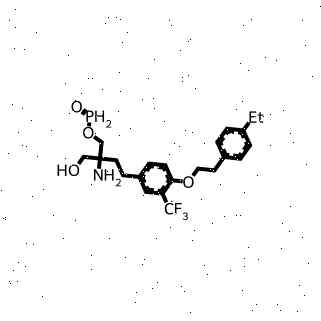 CCc1ccc(CCOc2ccc(CCC(N)(CO)CO[PH2]=O)cc2C(F)(F)F)cc1